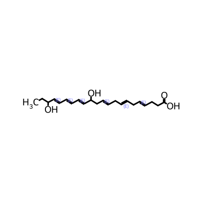 CCC(O)/C=C/C=C/C=C/C(O)C/C=C/C/C=C/C/C=C/CCC(=O)O